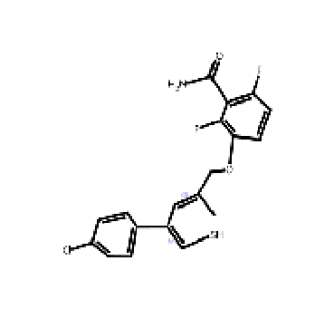 C/C(=C\C(=C/S)c1ccc(Cl)cc1)COc1ccc(F)c(C(N)=O)c1F